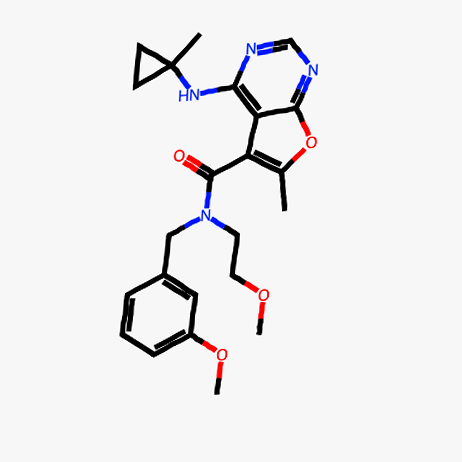 COCCN(Cc1cccc(OC)c1)C(=O)c1c(C)oc2ncnc(NC3(C)CC3)c12